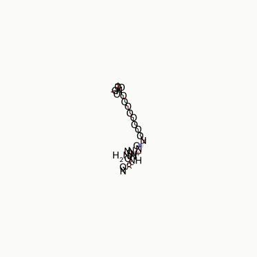 Cc1c(CC(=O)N(C)C)ccc(NC(=O)c2nn([C@@H]3CCCN(C(=O)/C=C/CN(C)CCOCCOCCOCCOCCOCCOCCOCCOCCN(C(=O)OC(C)(C)C)C(=O)OC(C)(C)C)C3)c3ncnc(N)c23)c1C